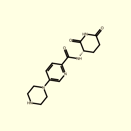 O=C1CC[C@H](NC(=O)c2ccc(N3CCNCC3)cn2)C(=O)N1